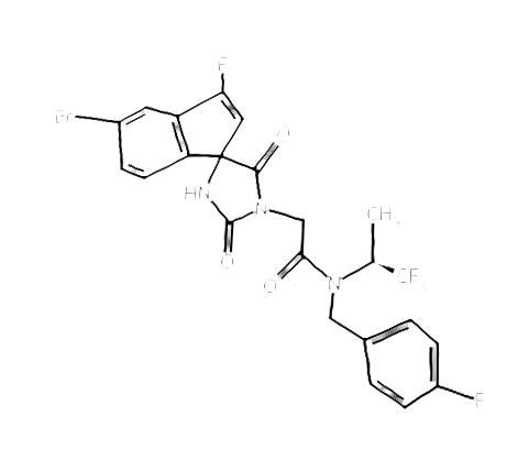 C[C@H](N(Cc1ccc(F)cc1)C(=O)CN1C(=O)NC2(C=C(F)c3cc(Br)ccc32)C1=O)C(F)(F)F